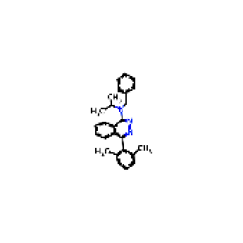 Cc1cccc(C)c1-c1nnc(N(Cc2ccccc2)C(C)C)c2ccccc12